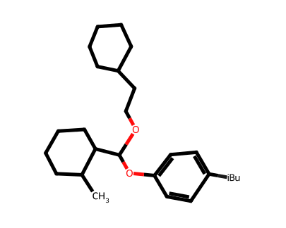 CCC(C)c1ccc(OC(OCCC2CCCCC2)C2CCCCC2C)cc1